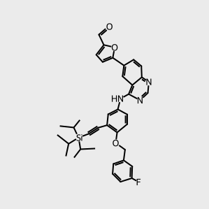 CC(C)[Si](C#Cc1cc(Nc2ncnc3ccc(-c4ccc(C=O)o4)cc23)ccc1OCc1cccc(F)c1)(C(C)C)C(C)C